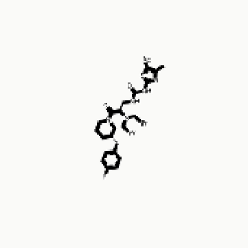 CC(=O)c1sc(NC(=O)NC[C@H](C(=O)N2CCC[C@@H](Cc3ccc(F)cc3)C2)N(CC(C)C)CC(C)C)nc1C